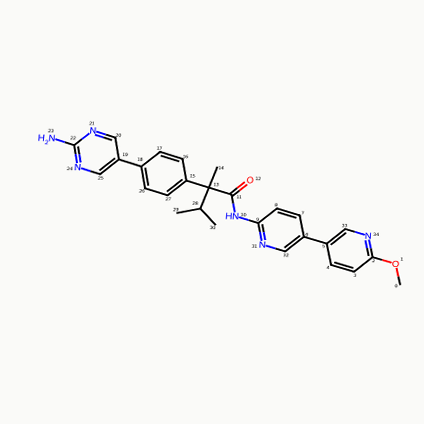 COc1ccc(-c2ccc(NC(=O)C(C)(c3ccc(-c4cnc(N)nc4)cc3)C(C)C)nc2)cn1